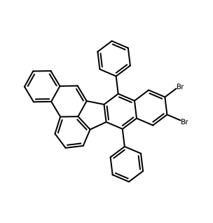 Brc1cc2c(-c3ccccc3)c3c(c(-c4ccccc4)c2cc1Br)-c1cc2ccccc2c2cccc-3c12